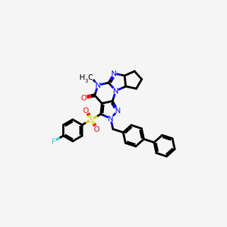 CN1C(=O)c2c(nn(Cc3ccc(-c4ccccc4)cc3)c2S(=O)(=O)c2ccc(F)cc2)N2C1=NC1CCCC12